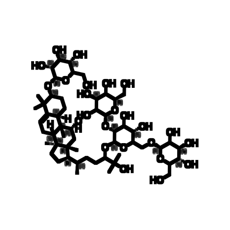 C[C@H](CCC(O[C@@H]1OC(CO[C@@H]2OC(CO)[C@@H](O)[C@H](O)C2O)[C@@H](O)C(O)[C@H]1O[C@@H]1O[C@H](CO)C(O)[C@H](O)C1O)C(C)(C)O)[C@H]1CC[C@@]2(C)[C@@H]3CC=C4[C@@H](CC[C@H](O[C@@H]5OC(CO)[C@@H](O)[C@H](O)[C@H]5O)C4(C)C)[C@]3(C)[C@H](O)C[C@]12C